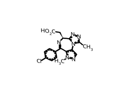 Cc1nnc2n1-c1cnn(C)c1C(c1ccc(Cl)cc1)=N[C@H]2CC(=O)O